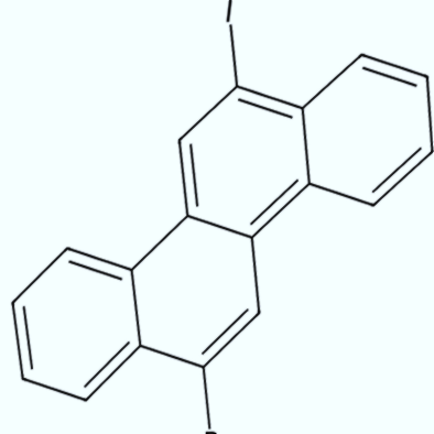 Brc1cc2c3ccccc3c(I)cc2c2ccccc12